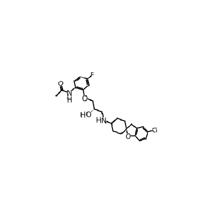 CC(=O)Nc1ccc(F)cc1OC[C@@H](O)CNC1CCC2(CC1)Cc1cc(Cl)ccc1O2